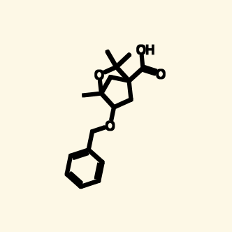 CC12CC(C(=O)O)(CC1OCc1ccccc1)C(C)(C)O2